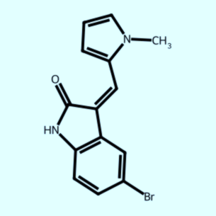 Cn1cccc1/C=C1\C(=O)Nc2ccc(Br)cc21